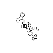 COC(=O)[C@H](Cc1ccc(C(=O)O)cc1)NC(=O)OCC1c2ccccc2-c2ccccc21